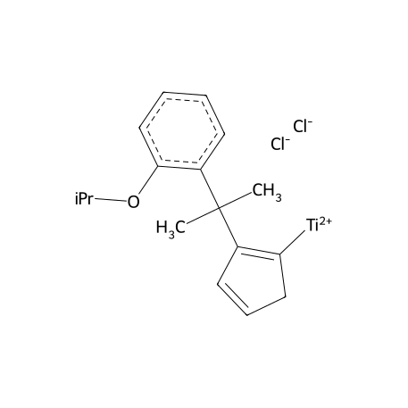 CC(C)Oc1ccccc1C(C)(C)C1=[C]([Ti+2])CC=C1.[Cl-].[Cl-]